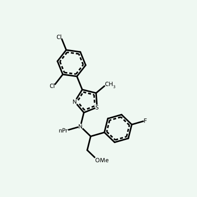 CCCN(c1nc(-c2ccc(Cl)cc2Cl)c(C)s1)C(COC)c1ccc(F)cc1